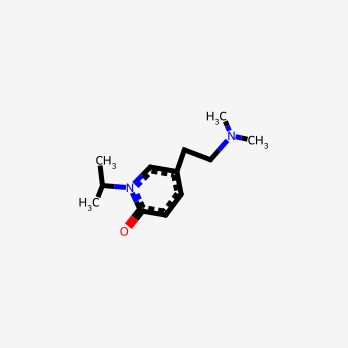 CC(C)n1cc(CCN(C)C)ccc1=O